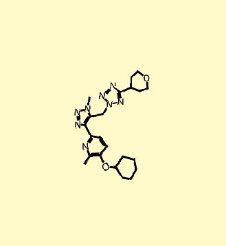 Cc1nc(-c2nnn(C)c2Cn2nnc(C3CCOCC3)n2)ccc1OC1CCCCC1